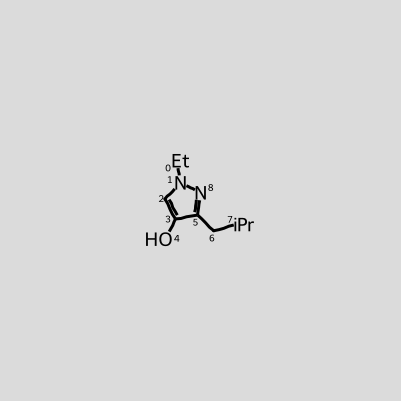 CCn1cc(O)c(CC(C)C)n1